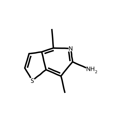 Cc1nc(N)c(C)c2sccc12